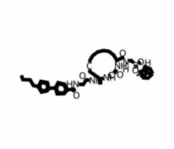 C=C1NCC(=O)NC(C(=O)NCB2O[C@@H]3CC4CC(C4(C)C)[C@]3(C)O2)CCCCCCCCC1NC(=O)CNC(=O)c1ccc(-c2ccc(CCCC)cc2)cc1